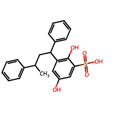 CC(CC(c1ccccc1)c1cc(O)cc(S(=O)(=O)O)c1O)c1ccccc1